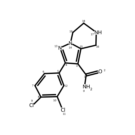 NC(=O)c1c(-c2ccc(Cl)c(Cl)c2)nn2c1CNCC2